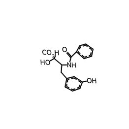 O=C(NC(Cc1cccc(O)c1)C(O)C(=O)O)c1ccccc1